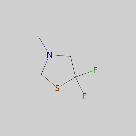 CN1CSC(F)(F)C1